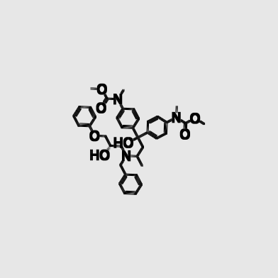 COC(=O)N(C)c1ccc(C(O)(CC(C)N(Cc2ccccc2)C[C@H](O)COc2ccccc2)c2ccc(N(C)C(=O)OC)cc2)cc1